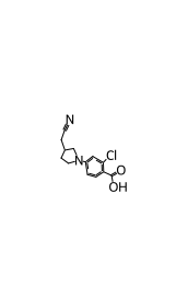 N#CCC1CCN(c2ccc(C(=O)O)c(Cl)c2)C1